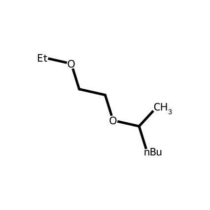 [CH2]COCCOC(C)CCCC